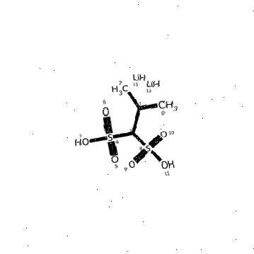 CC(C)C(S(=O)(=O)O)S(=O)(=O)O.[LiH].[LiH]